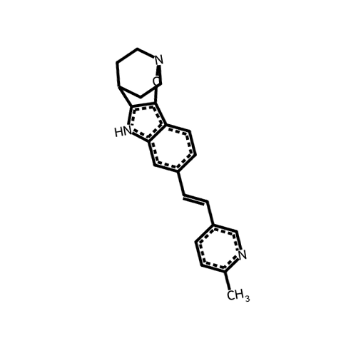 Cc1ccc(/C=C/c2ccc3c4c([nH]c3c2)C2CCN(CC2)C4)cn1